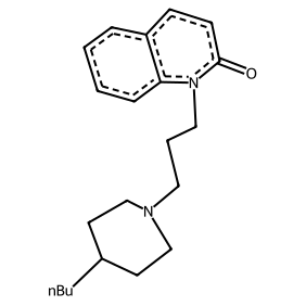 CCCCC1CCN(CCCn2c(=O)ccc3ccccc32)CC1